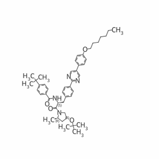 CCCCCCCOc1ccc(-c2cnc(-c3ccc(C[C@H](NC(=O)c4ccc(C(C)(C)C)cc4)C(=O)N4C[C@H](OC(C)(C)C)C[C@H]4C)cc3)nc2)cc1